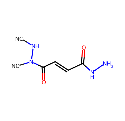 N#CNN(C#N)C(=O)/C=C/C(=O)NN